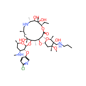 CCCNC[C@]1(O)[C@H](C)O[C@@H](O[C@H]2[C@H](C)[C@@H](O[C@@H]3O[C@H](C)C[C@H](NC)[C@H]3Oc3ccc(Cl)nc3)[C@](C)(O)C[C@@H](C)CN[C@H](C)[C@@H](O)[C@](C)(O)[C@@H](CC)OC(=O)[C@@H]2C)C[C@@]1(C)OC